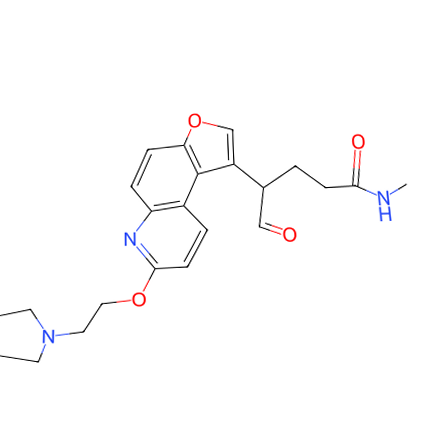 CNC(=O)CCC(C=O)c1coc2ccc3nc(OCCN4CCCC4)ccc3c12